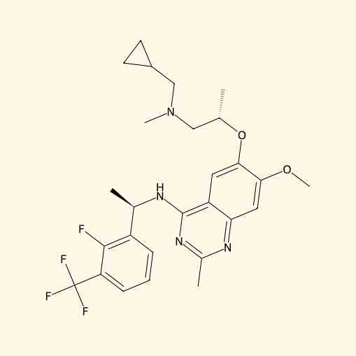 COc1cc2nc(C)nc(N[C@H](C)c3cccc(C(F)(F)F)c3F)c2cc1O[C@@H](C)CN(C)CC1CC1